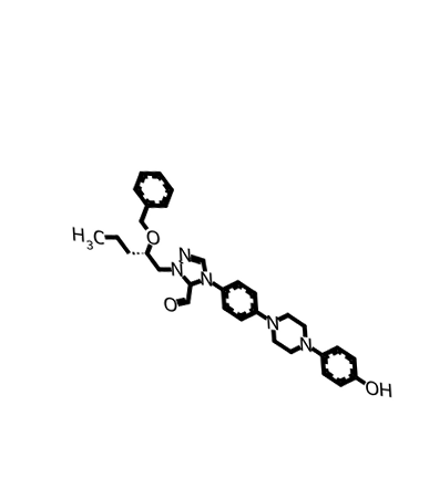 CCC[C@@H](CN1N=CN(c2ccc(N3CCN(c4ccc(O)cc4)CC3)cc2)C1C=O)OCc1ccccc1